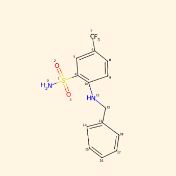 NS(=O)(=O)c1cc(C(F)(F)F)ccc1NCc1ccccc1